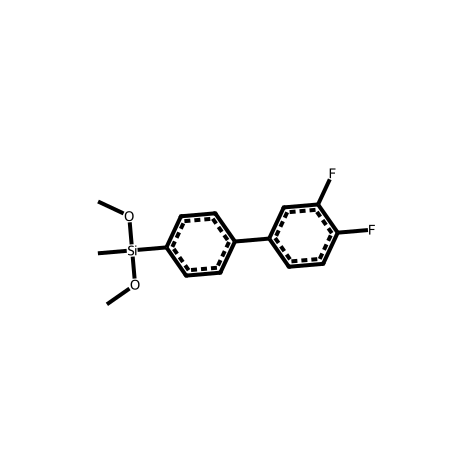 CO[Si](C)(OC)c1ccc(-c2ccc(F)c(F)c2)cc1